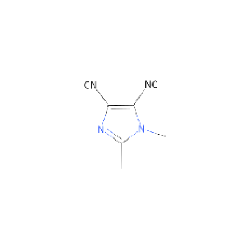 [C-]#[N+]c1nc(C)n(C)c1[N+]#[C-]